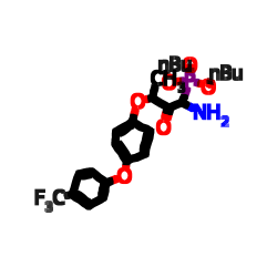 CCCCOP(=O)(OCCCC)C(N)C(=O)C(C)Oc1ccc(Oc2ccc(C(F)(F)F)cc2)cc1